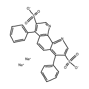 O=S(=O)([O-])c1cnc2c(ccc3c(-c4ccccc4)c(S(=O)(=O)[O-])cnc32)c1-c1ccccc1.[Na+].[Na+]